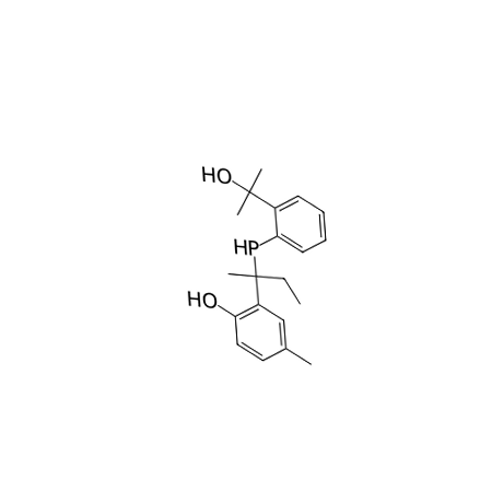 CCC(C)(Pc1ccccc1C(C)(C)O)c1cc(C)ccc1O